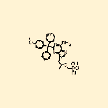 COc1ccc(C(c2ccccc2)(c2ccccc2)c2nc(N)c3ncn(CC(C)OCP(=O)(O)O)c3n2)cc1